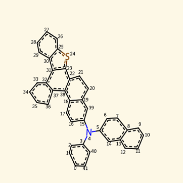 c1ccc(N(c2ccc3ccccc3c2)c2ccc3c(ccc4c5sc6ccccc6c5c5ccccc5c34)c2)cc1